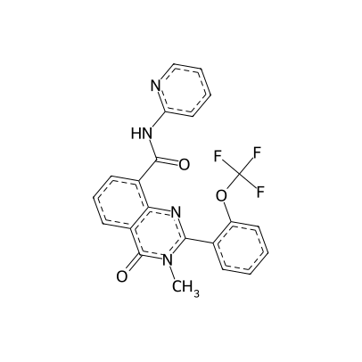 Cn1c(-c2ccccc2OC(F)(F)F)nc2c(C(=O)Nc3ccccn3)cccc2c1=O